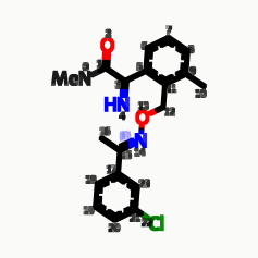 CNC(=O)C(=N)c1cccc(C)c1CO/N=C(\C)c1cccc(Cl)c1